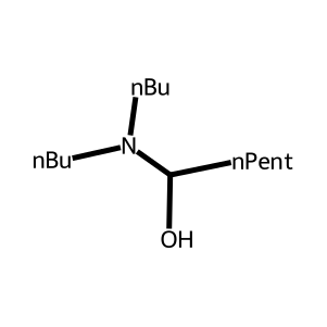 CCCCCC(O)N(CCCC)CCCC